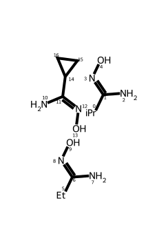 CC(C)C(N)=NO.CCC(N)=NO.NC(=NO)C1CC1